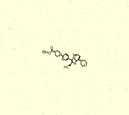 C#Cc1nc2c(N3CCOCC3)ccnn2c1-c1ccc(N2CCN(C(=O)OC(C)(C)C)CC2)nc1